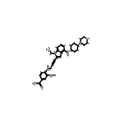 COc1cc(C(N)=O)ccc1NCC#Cc1cc2c(N[C@H]3CC[C@H](N4CCOCC4)CC3)cccc2n1CC(F)(F)F